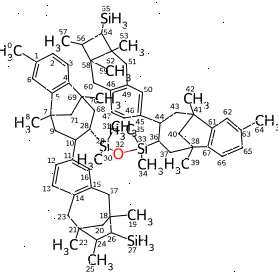 Cc1ccc2c(c1)C1(C)CC(c3ccc4c(c3)CC3(C)CC(C)(C4)C(C)C3[SiH3])C([Si](C)(C)O[Si](C)(C)C3CC4(C)CC(C)(CC3c3ccc5c(c3)CC3(C)C([SiH3])C(C)C3(C)C5)c3cc(C)ccc34)CC2(C)C1